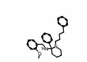 COc1ccccc1CNC1(c2ccccc2)CCCCN1CCCCc1ccccc1